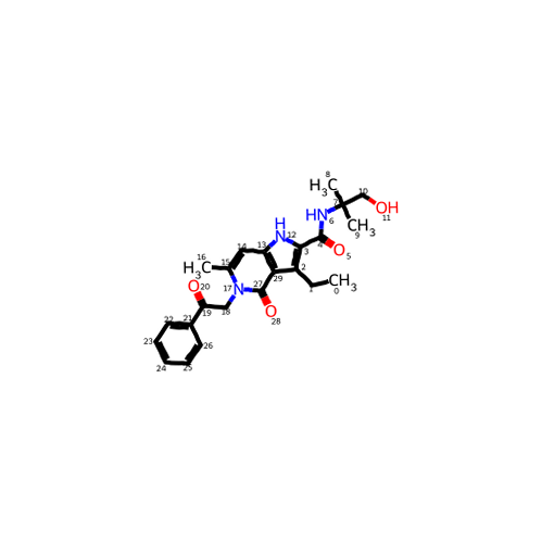 CCc1c(C(=O)NC(C)(C)CO)[nH]c2cc(C)n(CC(=O)c3ccccc3)c(=O)c12